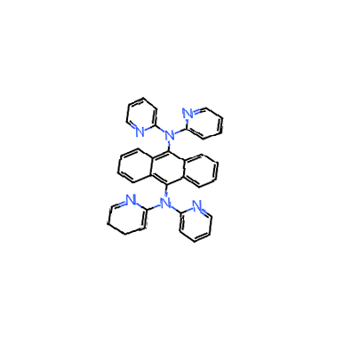 C1=NC(N(c2ccccn2)c2c3ccccc3c(N(c3ccccn3)c3ccccn3)c3ccccc23)=CCC1